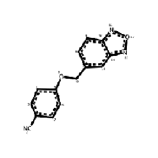 N#Cc1ccc(OCc2ccc3nonc3c2)cc1